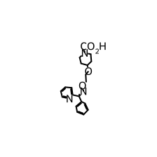 O=C(O)N1CCC(OCCON=C(c2ccccc2)c2ccccn2)CC1